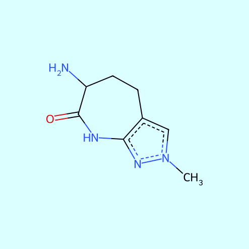 Cn1cc2c(n1)NC(=O)C(N)CC2